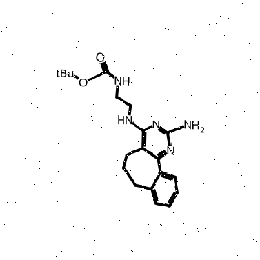 CC(C)(C)OC(=O)NCCNc1nc(N)nc2c1CCCc1ccccc1-2